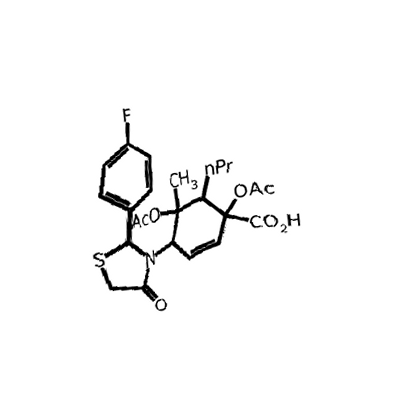 CCCC1C(OC(C)=O)(C(=O)O)C=CC(N2C(=O)CSC2c2ccc(F)cc2)C1(C)OC(C)=O